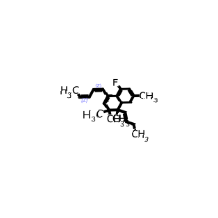 C/C=C\C=C/C1=CC(C)(C)C(C)(C=CCC)C2CC(C)=CC(F)=C12